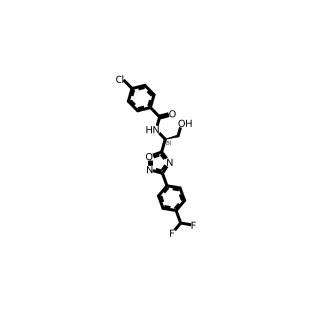 O=C(N[C@@H](CO)c1nc(-c2ccc(C(F)F)cc2)no1)c1ccc(Cl)cc1